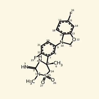 CN1C(=N)N[C@](C)(c2cc(N3COc4cc(F)ccc43)ccc2F)CS1(=O)=O